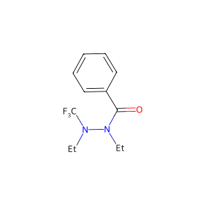 CCN(C(=O)c1ccccc1)N(CC)C(F)(F)F